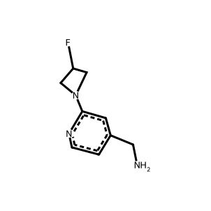 NCc1ccnc(N2CC(F)C2)c1